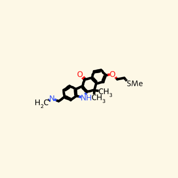 C=NCc1ccc2c3c([nH]c2c1)C(C)(C)c1cc(OCCSC)ccc1C3=O